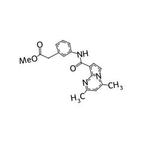 COC(=O)Cc1cccc(NC(=O)c2ccn3c(C)cc(C)nc23)c1